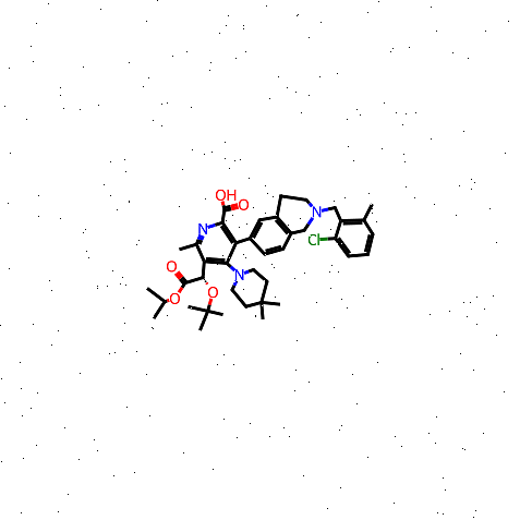 Cc1cccc(Cl)c1CN1CCc2cc(-c3c(C(=O)O)nc(C)c([C@H](OC(C)(C)C)C(=O)OC(C)C)c3N3CCC(C)(C)CC3)ccc2C1